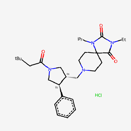 CCN1C(=O)N(C(C)C)C2(CCN(C[C@H]3CN(C(=O)CC(C)(C)C)C[C@@H]3c3ccccc3)CC2)C1=O.Cl